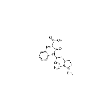 CC(CC1CC[C@H](C)N1C)n1c(=O)c(C(=O)O)nc2ccccc21